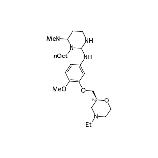 CCCCCCCCN1C(NC)CCNC1Nc1ccc(OC)c(OC[C@@H]2CN(CC)CCO2)c1